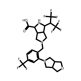 O=C(O)C1NC(C(C(F)(F)F)C(F)(F)F)C2CN(Cc3ccc(C(F)(F)F)cc3N3CC4COCC4C3)CC12